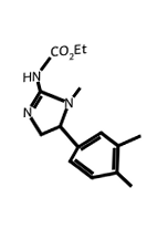 CCOC(=O)NC1=NCC(c2ccc(C)c(C)c2)N1C